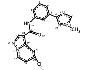 Cn1cnc(-c2cccc(NC(=O)c3cnn4ccc(Cl)nc34)c2)n1